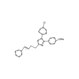 COc1ccc(-n2nc(CC/C=C/c3ccccc3)cc2-c2ccc(Cl)cc2)cc1